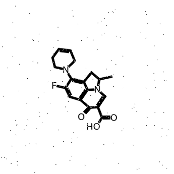 CC1Cc2c(N3CC=CCC3)c(F)cc3c(=O)c(C(=O)O)cn1c23